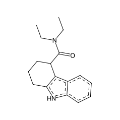 CCN(CC)C(=O)C1CCCc2[nH]c3ccccc3c21